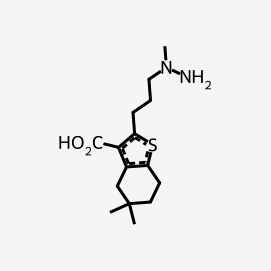 CN(N)CCCc1sc2c(c1C(=O)O)CC(C)(C)CC2